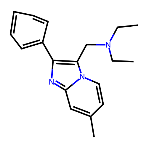 CCN(CC)Cc1c(-c2ccccc2)nc2cc(C)ccn12